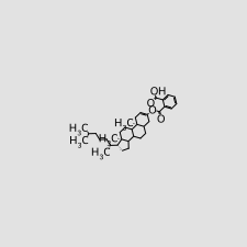 CC(C)CCC[C@@H](C)[C@H]1CCC2C3CCC4CC(OC(=O)c5ccccc5C(=O)O)=CC[C@]4(C)C3CC[C@@]21C